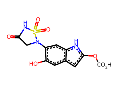 O=C1CN(c2cc3[nH]c(OC(=O)O)cc3cc2O)S(=O)(=O)N1